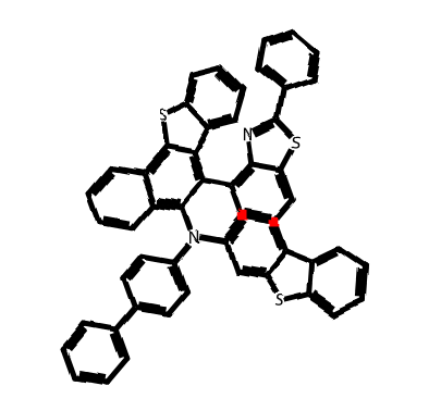 c1ccc(-c2ccc(N(c3ccc4c(c3)sc3ccccc34)c3c(-c4cccc5sc(-c6ccccc6)nc45)c4c5ccccc5sc4c4ccccc34)cc2)cc1